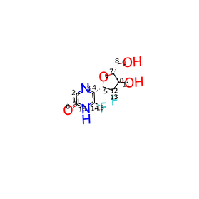 O=c1cnc([C@@H]2O[C@H](CO)C(O)[C@@H]2F)c(F)[nH]1